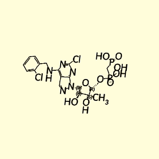 C[C@@]1(O)[C@@H](COP(=O)(O)CP(=O)(O)O)O[C@@H](n2ncc3c(NCc4ccccc4Cl)nc(Cl)nc32)[C@@H]1O